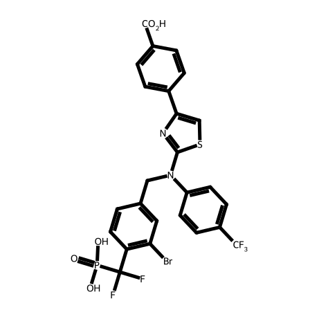 O=C(O)c1ccc(-c2csc(N(Cc3ccc(C(F)(F)P(=O)(O)O)c(Br)c3)c3ccc(C(F)(F)F)cc3)n2)cc1